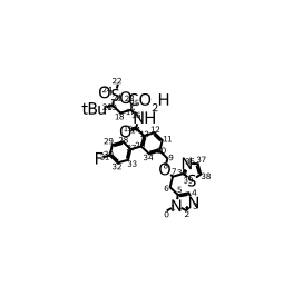 Cn1cncc1CC(OCc1ccc(C(=O)N[C@@H](CC(C(C)(C)C)S(C)(=O)=O)C(=O)O)c(-c2ccc(F)cc2)c1)c1nccs1